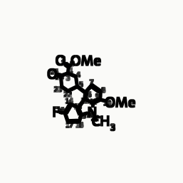 COC(=O)C1CC(c2ccc(OC)c3c2c2cc(F)ccc2n3C)CCC1=O